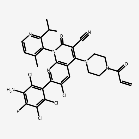 C=CC(=O)N1CCN(c2c(C#N)c(=O)n(-c3c(C)ccnc3C(C)C)c3nc(-c4c(Cl)c(N)c(F)c(Cl)c4Cl)c(Cl)cc23)CC1